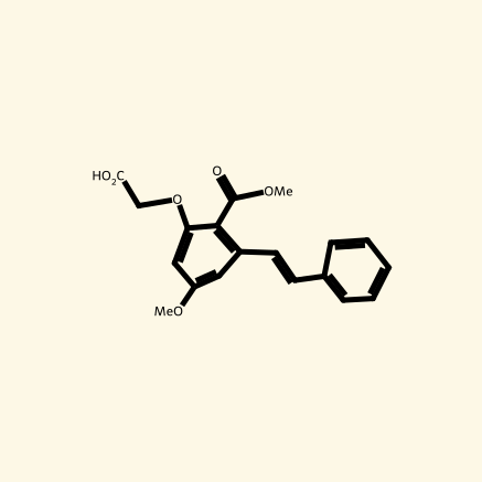 COC(=O)c1c(C=Cc2ccccc2)cc(OC)cc1OCC(=O)O